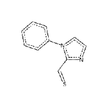 S=Cc1nccn1-c1ccccc1